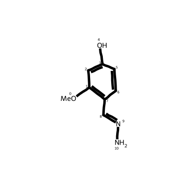 COc1cc(O)ccc1C=NN